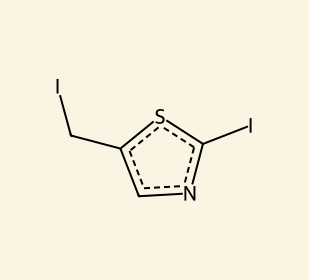 ICc1cnc(I)s1